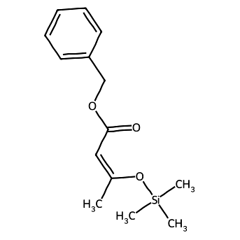 CC(=CC(=O)OCc1ccccc1)O[Si](C)(C)C